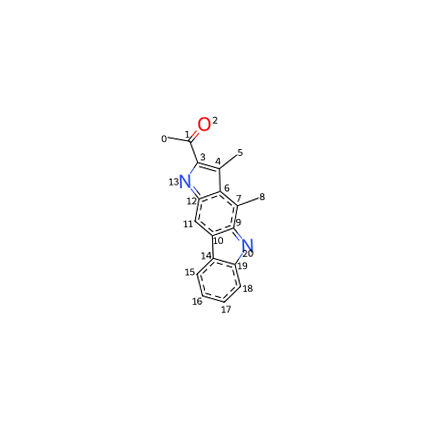 CC(=O)C1=C(C)c2c(C)c3c(cc2=N1)-c1ccccc1N=3